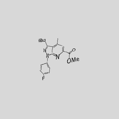 CCC(C)c1nn(-c2ccc(F)cc2)c2nc(C(=O)OC)cc(C)c12